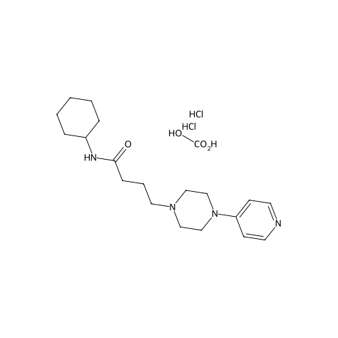 Cl.Cl.O=C(CCCN1CCN(c2ccncc2)CC1)NC1CCCCC1.O=C(O)O